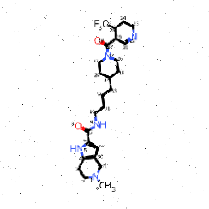 CN1CCc2[nH]c(C(=O)NCCCCC3CCN(C(=O)C4C=NCCC4C(F)(F)F)CC3)cc2C1